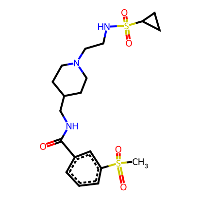 CS(=O)(=O)c1cccc(C(=O)NCC2CCN(CCNS(=O)(=O)C3CC3)CC2)c1